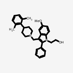 COc1ccc2c(c1)c(CN1CCC(c3c(C)cccc3C)CC1)c(-c1ccccc1)n2CCO